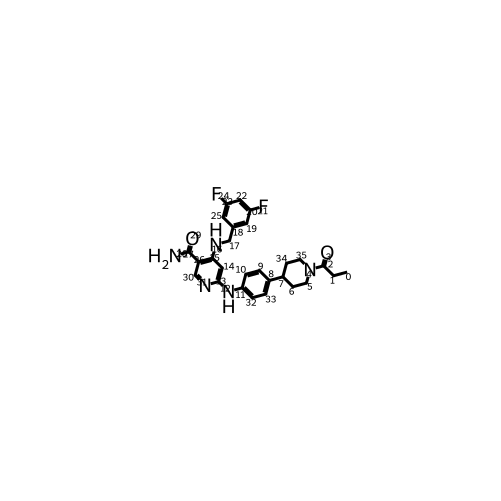 CCC(=O)N1CCC(c2ccc(Nc3cc(NCc4cc(F)cc(F)c4)c(C(N)=O)cn3)cc2)CC1